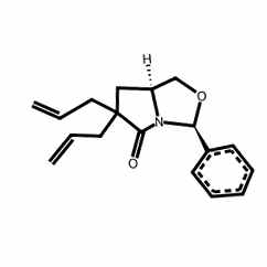 C=CCC1(CC=C)C[C@H]2CO[C@@H](c3ccccc3)N2C1=O